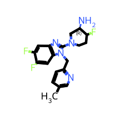 Cc1ccc(Cn2c(N3CCC(F)[C@H](N)C3)nc3cc(F)c(F)cc32)nc1